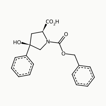 O=C(O)[C@@H]1C[C@@](O)(c2ccccc2)CN1C(=O)OCc1ccccc1